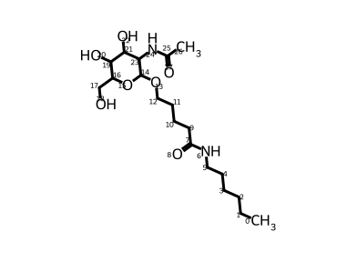 CCCCCCNC(=O)CCCCOC1OC(CO)C(O)C(O)C1NC(C)=O